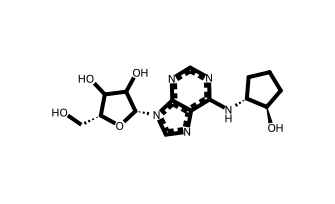 OC[C@H]1O[C@@H](n2cnc3c(N[C@@H]4CCC[C@H]4O)ncnc32)C(O)C1O